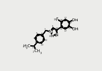 CC(C)c1ccc(Cn2cc(-c3cc(O)c(O)cc3F)nn2)cc1